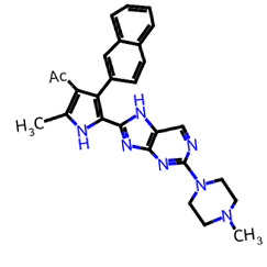 CC(=O)c1c(C)[nH]c(-c2nc3nc(N4CCN(C)CC4)ncc3[nH]2)c1-c1ccc2ccccc2c1